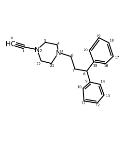 C#CN1CCN(CCC(c2ccccc2)c2ccccc2)CC1